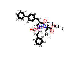 COC(=O)C(C)(C)NC(=O)C(Cc1ccc(-c2ccccc2)cc1)CP(=O)(O)CCc1ccccc1